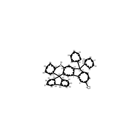 Clc1ccc2c(c1)-c1cc3c(cc1C2(c1ccccc1)c1ccccc1)Sc1ccccc1C31c2ccccc2-c2ccccc21